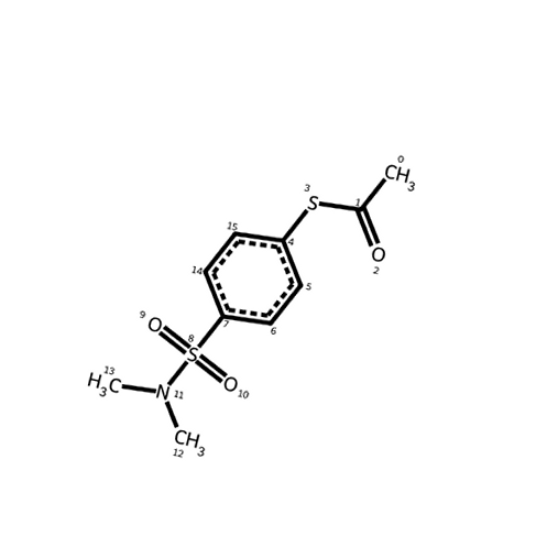 CC(=O)Sc1ccc(S(=O)(=O)N(C)C)cc1